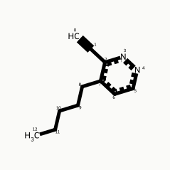 C#Cc1nnccc1CCCCC